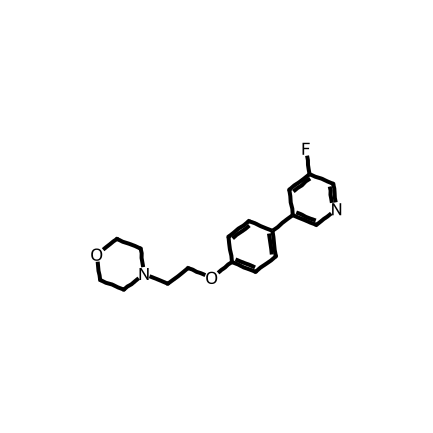 Fc1cncc(-c2ccc(OCCN3CCOCC3)cc2)c1